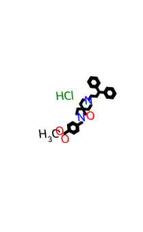 COC(=O)c1ccc(CN2CCC3(CCN(CCC(c4ccccc4)c4ccccc4)CC3)C2=O)cc1.Cl